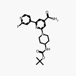 CC(C)(C)OC(=O)NC1CCN(c2cc(C(N)=O)cc(-c3ccnc(F)c3)n2)CC1